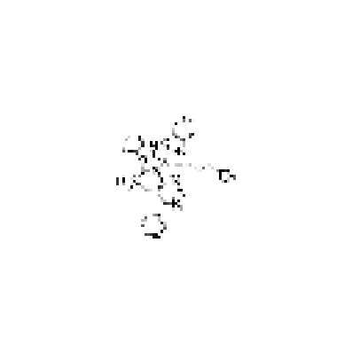 CCCCCC(Nc1nnnc(-c2ccccc2)c1CC)(c1nc2ccccc2o1)c1nc2ccccc2o1